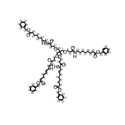 O=C(CCOCC(COCCC(=O)NCCCCCCCC(=O)OCc1ccccc1)(COCCC(=O)NCCCCCCCC(=O)OCc1ccccc1)COCCC(=O)NCCCCCCCC(=O)OCc1ccccc1)NCCCCCCCC(=O)OCc1ccccc1